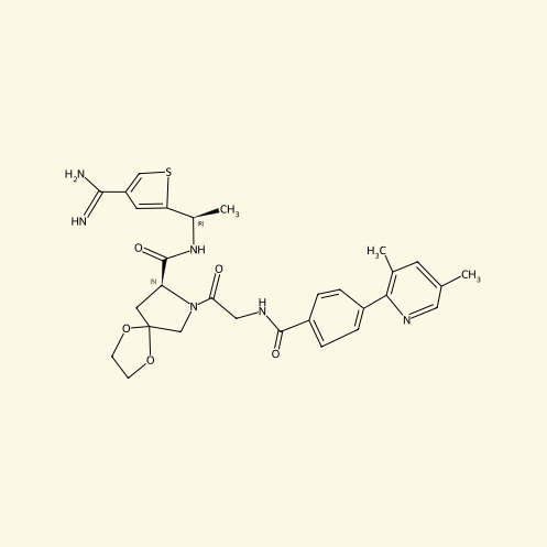 Cc1cnc(-c2ccc(C(=O)NCC(=O)N3CC4(C[C@H]3C(=O)N[C@H](C)c3cc(C(=N)N)cs3)OCCO4)cc2)c(C)c1